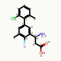 Cc1cc(-c2c(C)cccc2Cl)cc([C@@H](N)CC(=O)O)c1F